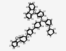 c1ccc(-c2cccc(N(c3ccc(-c4ccc(-c5ccc6c(c5)oc5ccccc56)cc4)cc3)c3cccc(-n4c5ccccc5c5ccccc54)c3)c2)cc1